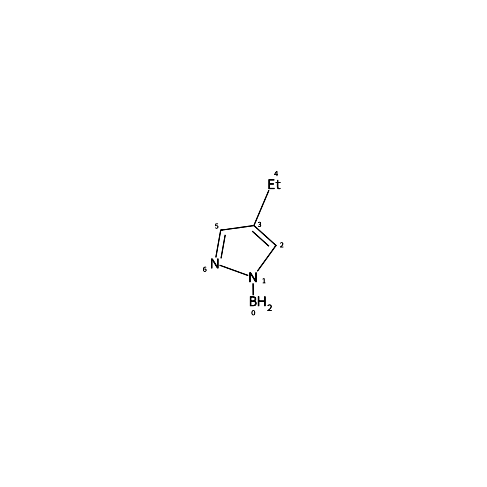 Bn1cc(CC)cn1